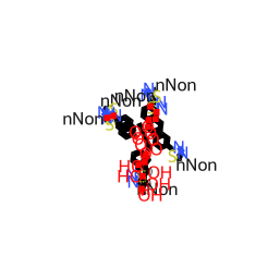 CCCCCCCCCc1nnc(-c2ccc(OC(C)(Oc3ccc(-c4nnc(CCCCCCCCC)s4)cc3)C(Oc3ccc(-c4nnc(CCCCCCCCC)s4)cc3)(Oc3ccc(-c4nnc(CCCCCCCCC)s4)cc3)C(Oc3ccc(-c4nnc(CCCCCCCCC)s4)cc3)(Oc3ccc(-c4nnc(CCCCCCCCC)s4)cc3)C(=O)OC[C@@H](O)[C@@H](O)[C@H](O)[C@H](O)CO)cc2)s1